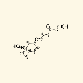 CCOC(=O)CCCOc1ccc2c(c1)B(O)OC2